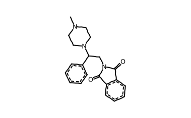 CN1CCN(C(CN2C(=O)c3ccccc3C2=O)c2ccccc2)CC1